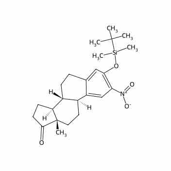 CC(C)(C)[Si](C)(C)Oc1cc2c(cc1[N+](=O)[O-])[C@H]1CC[C@]3(C)C(=O)CC[C@H]3[C@@H]1CC2